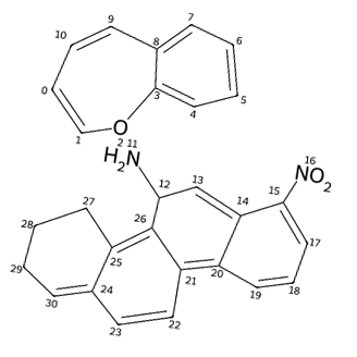 C1=COc2ccccc2C=C1.NC1C=c2c([N+](=O)[O-])cccc2=c2ccc3c(c21)CCCC=3